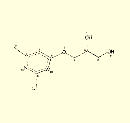 Cc1cc(OCC(O)CO)nc(C)n1